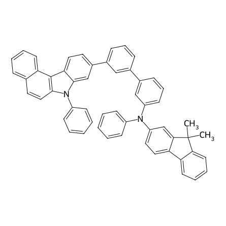 CC1(C)c2ccccc2-c2ccc(N(c3ccccc3)c3cccc(-c4cccc(-c5ccc6c7c8ccccc8ccc7n(-c7ccccc7)c6c5)c4)c3)cc21